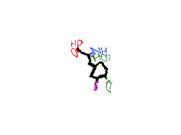 Cl.N[C@@H](Cc1ccc(Cl)c(I)c1)C(=O)O